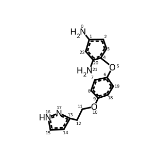 Nc1ccc(Oc2ccc(OCCc3cc[nH]n3)cc2)c(N)c1